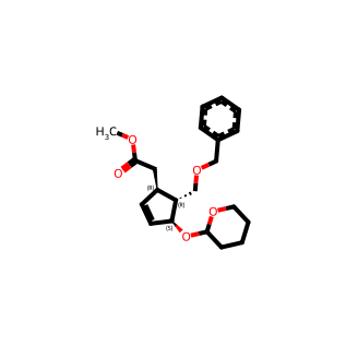 COC(=O)C[C@@H]1C=C[C@H](OC2CCCCO2)[C@H]1COCc1ccccc1